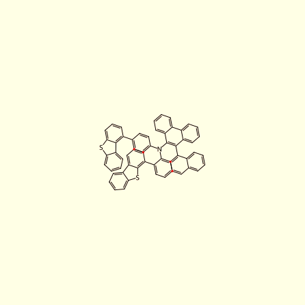 c1ccc(N(c2ccc(-c3cccc4sc5ccccc5c34)cc2)c2c(-c3cccc4ccccc34)c3ccccc3c3ccccc23)c(-c2cccc3c2sc2ccccc23)c1